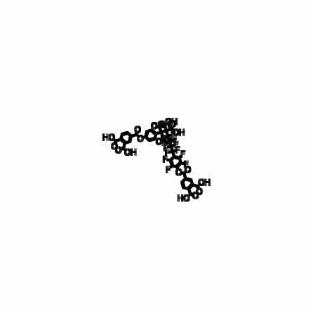 O=C(Oc1ccc(C(C(=O)O)(C(=O)O)C(C(=O)O)(C(=O)O)C(F)(F)C(F)(F)C(F)(F)C(F)(F)c2c(F)c(F)c(OC(=O)c3ccc(C(=O)O)c(C(=O)O)c3)c(F)c2F)cc1)c1ccc(C(=O)O)c(C(=O)O)c1